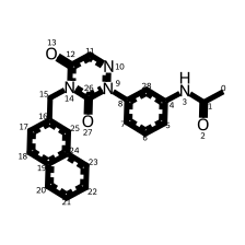 CC(=O)Nc1cccc(-n2ncc(=O)n(Cc3ccc4ccccc4c3)c2=O)c1